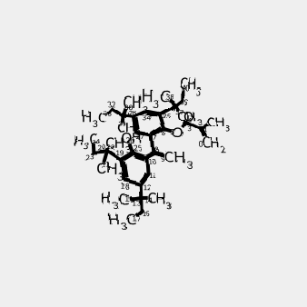 C=C(C)C(=O)Oc1c(C(C)c2cc(C(C)(C)CC)cc(C(C)(C)CC)c2O)cc(C(C)(C)CC)cc1C(C)(C)CC